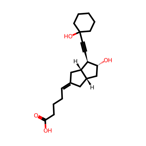 O=C(O)CCC/C=C1\C[C@H]2C[C@@H](O)[C@H](C#CC3(O)CCCCC3)[C@H]2C1